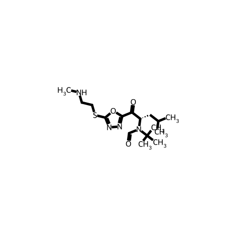 CNCCSc1nnc(C(=O)[C@H](CC(C)C)N(C=O)C(C)(C)C)o1